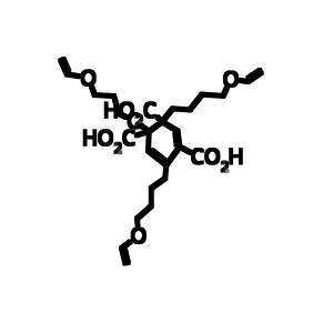 C=COCCCCC1=CC(CCCCOC=C)(C(=O)O)C(CCCCOC=C)(C(=O)O)C=C1C(=O)O